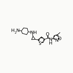 Cc1cc(NC(=O)c2csc(C3CC3NC3CCC(N)CC3)c2)no1